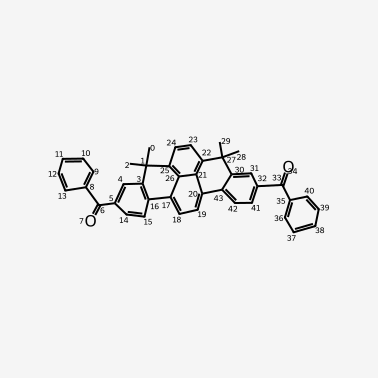 CC1(C)c2cc(C(=O)c3ccccc3)ccc2-c2ccc3c4c(ccc1c24)C(C)(C)c1cc(C(=O)c2ccccc2)ccc1-3